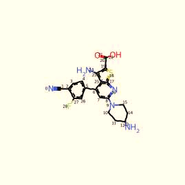 N#Cc1ccc(-c2cc(N3CCC(N)CC3)nc3sc(C(=O)O)c(N)c23)cc1F